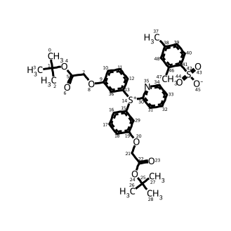 CC(C)(C)OC(=O)COc1cccc([S+](c2cccc(OCC(=O)OC(C)(C)C)c2)c2ccccn2)c1.Cc1ccc(S(=O)(=O)[O-])c(C)c1